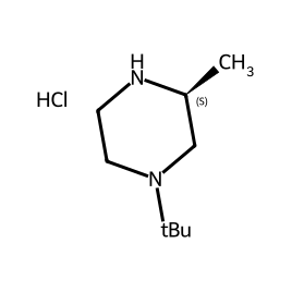 C[C@H]1CN(C(C)(C)C)CCN1.Cl